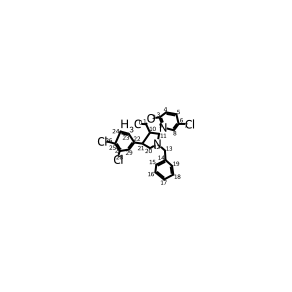 CC(Oc1ccc(Cl)cn1)C1CN(Cc2ccccc2)CC1c1ccc(Cl)c(Cl)c1